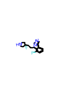 Fc1cccc2c1C(CCC1(F)CCNCC1)n1cncc1-2